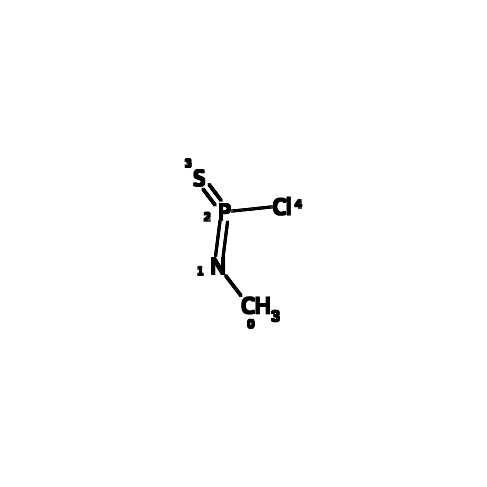 CN=P(=S)Cl